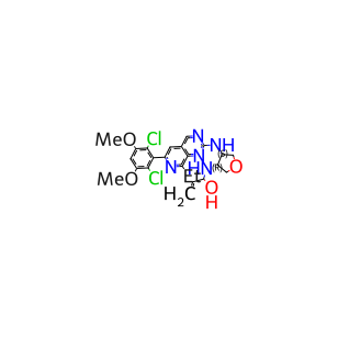 C=CC(O)N[C@H]1COC[C@H]1Nc1ncc2cc(-c3c(Cl)c(OC)cc(OC)c3Cl)nc(CC)c2n1